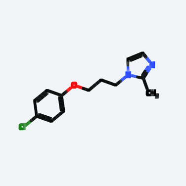 Cc1nccn1CCCOc1ccc(Cl)cc1